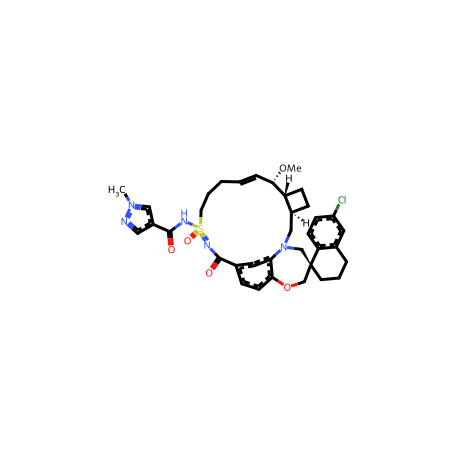 CO[C@H]1/C=C/CCCS(=O)(NC(=O)c2cnn(C)c2)=NC(=O)c2ccc3c(c2)N(C[C@@H]2CC[C@H]21)C[C@@]1(CCCc2cc(Cl)ccc21)CO3